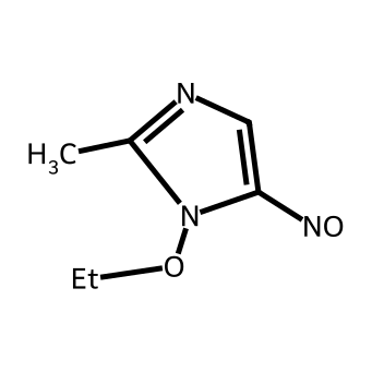 CCOn1c(N=O)cnc1C